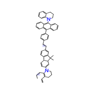 C=CC1=C(/C=C\C)N(C2=CC3C(C=C2)c2ccc(/C=C/c4ccc(-c5c6ccccc6c(N6CCCc7ccccc76)c6ccccc56)cc4)cc2C3(C)C)CCC1